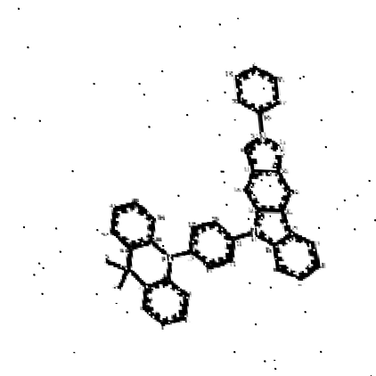 CC1(C)c2ccccc2N(c2ccc(-n3c4ccccc4c4cc5nn(-c6ccccc6)cc5cc43)cc2)c2ccccc21